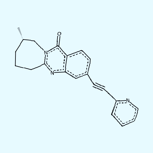 C[C@H]1CCCc2nc3cc(C#Cc4ccccn4)ccc3c(=O)n2C1